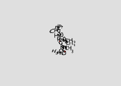 CC(C)Oc1ccc(C(=O)N[C@H](CNC(=O)CN(C)C)Cc2ccc(-c3cn(C)c(C(C)CO)n3)cc2)cc1Cl